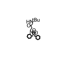 CC(C)(C)NCC(=O)CCN1c2ccccc2N(c2ccccc2)S1(=O)=O